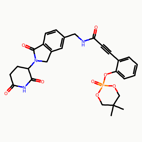 CC1(C)COP(=O)(Oc2ccccc2C#CC(=O)NCc2ccc3c(c2)CN(C2CCC(=O)NC2=O)C3=O)OC1